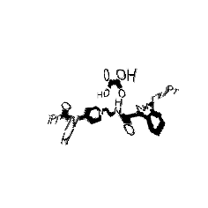 CCCn1nc(C(=O)NCCN2CCC(NC(=O)C(C)C)CC2)c2ccccc21.O=C(O)C(=O)O